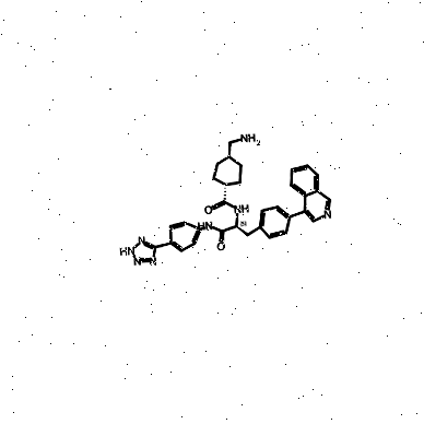 NC[C@H]1CC[C@H](C(=O)N[C@@H](Cc2ccc(-c3cncc4ccccc34)cc2)C(=O)Nc2ccc(-c3nn[nH]n3)cc2)CC1